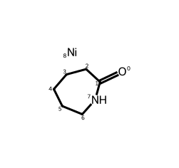 O=C1CCCCCN1.[Ni]